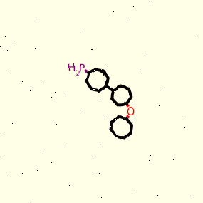 PC1CCCC(C2CCCC(OC3CCCCCCC3)CC2)CCC1